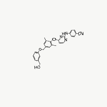 Cc1cc(COc2cccc(CO)c2)cc(C)c1Oc1ccnc(Nc2ccc(C#N)cc2)n1